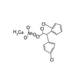 Clc1ccc(C(c2ccccc2Cl)C(Cl)Cl)cc1.O=[N+]([O-])[O-].[GaH3]